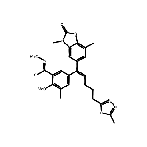 CON=C(Cl)c1cc(/C(=C\CCCc2nnc(C)o2)c2cc(C)c3oc(=O)n(C)c3c2)cc(C)c1OC